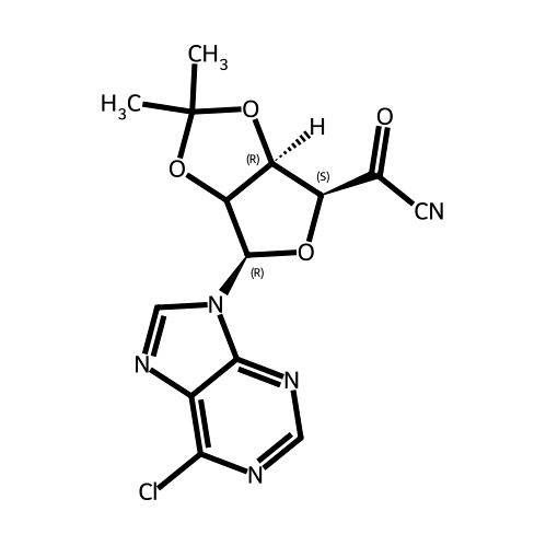 CC1(C)OC2[C@@H](O1)[C@@H](C(=O)C#N)O[C@H]2n1cnc2c(Cl)ncnc21